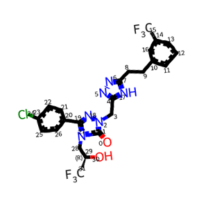 O=c1n(Cc2nnc(CCc3cccc(C(F)(F)F)c3)[nH]2)nc(-c2ccc(Cl)cc2)n1C[C@@H](O)C(F)(F)F